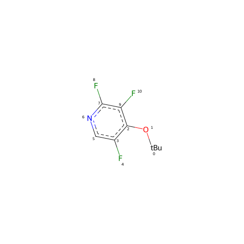 CC(C)(C)Oc1c(F)cnc(F)c1F